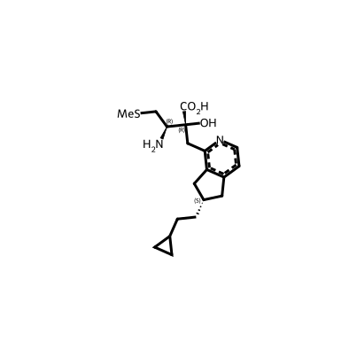 CSC[C@H](N)[C@](O)(Cc1nccc2c1C[C@@H](CCC1CC1)C2)C(=O)O